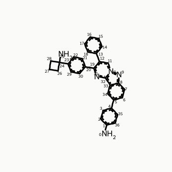 Nc1ccc(-c2ccc3nn4cc(-c5ccccc5)c(-c5ccc(C6(N)CCC6)cc5)nc4c3c2)cc1